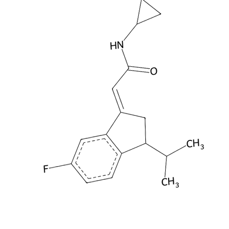 CC(C)C1C/C(=C\C(=O)NC2CC2)c2cc(F)ccc21